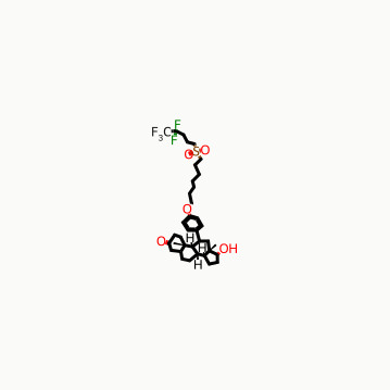 C[C@]12CCC(=O)CC1CC[C@@H]1[C@H]2C(c2ccc(OCCCCCCCS(=O)(=O)CCCC(F)(F)C(F)(F)F)cc2)C[C@]2(C)C(O)CC[C@@H]12